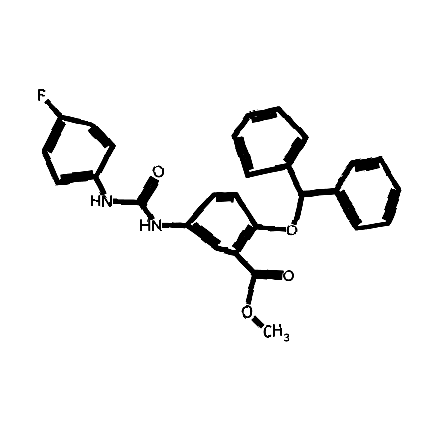 COC(=O)c1cc(NC(=O)Nc2ccc(F)cc2)ccc1OC(c1ccccc1)c1ccccc1